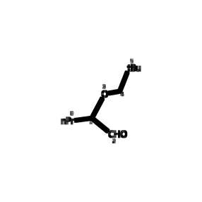 CCCC(C=O)OCC(C)(C)C